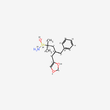 CC(C)(CC(CC1=COCO1)Cc1ccccc1)[S+](N)[O-]